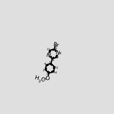 COc1ccc(-c2cnc(Br)cn2)cc1